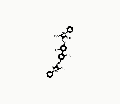 Cc1cc(/N=N/c2c(C)nn(-c3ccccc3)c2O)ccc1-c1ccc(/N=N/c2c(C)nn(-c3ccccc3)c2O)cc1C